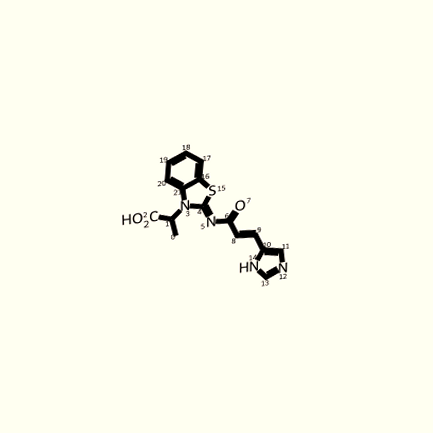 CC(C(=O)O)n1/c(=N/C(=O)/C=C/c2cnc[nH]2)sc2ccccc21